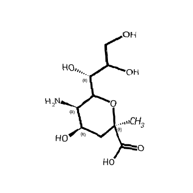 C[C@]1(C(=O)O)C[C@@H](O)[C@@H](N)C([C@H](O)C(O)CO)O1